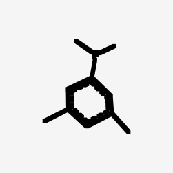 Cc1cc(C)cc(P(C)C)c1